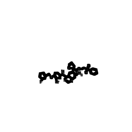 CC(OCCS(=O)(=O)c1ccccc1)C1(c2cc3c(Nc4ccc(OCc5cccc(F)c5)c(Br)c4)ncnc3cc2F)CC=CO1